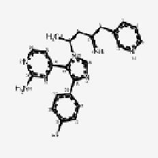 CC(CC(=N)Cc1cccnc1)n1cnc(-c2ccc(F)cc2)c1-c1ccnc(N)n1